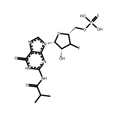 CC(C)C(=O)Nc1nc2c(ncn2[C@@H]2O[C@H](COP(O)(O)=S)C(F)[C@@H]2O)c(=O)[nH]1